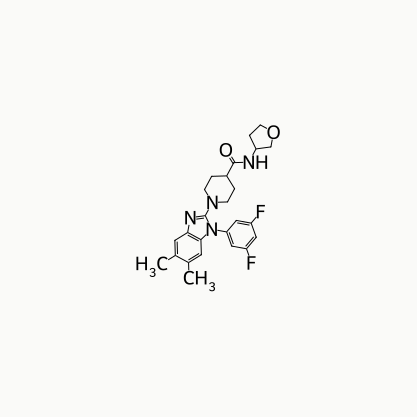 Cc1cc2nc(N3CCC(C(=O)NC4CCOC4)CC3)n(-c3cc(F)cc(F)c3)c2cc1C